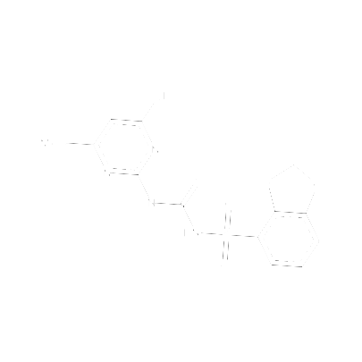 COc1cc(C)nc(NC(=O)NS(=O)(=O)c2cccc3c2SCO3)n1